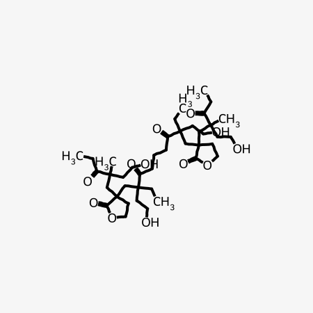 CCC(=O)C(C)(CCO)CC1(CC(CC)(CCO)C(=O)CCCC(=O)C(CC)(CCO)CC2(CC(C)(CCO)C(=O)CC)CCOC2=O)CCOC1=O